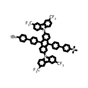 CC(C)(C)c1ccc(-c2ccc(-c3c4ccc(-n5c6ccc(C(F)(F)F)cc6c6cc(C(F)(F)F)ccc65)cc4c(-c4ccc(-c5ccc([Si](C)(C)C)cc5)cc4)c4ccc(-n5c6ccc(C(F)(F)F)cc6c6cc(C(F)(F)F)ccc65)cc34)cc2)cc1